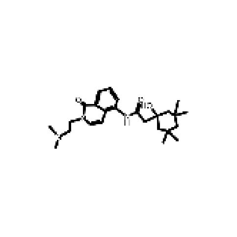 CN(C)CCn1ccc2c(NC(=O)CC3(O)CC(C)(C)CC(C)(C)C3)cccc2c1=O